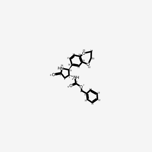 O=C1C[C@@H](NC(=O)OCc2ccccc2)[C@H](c2ccc3c(c2)OCCO3)N1